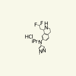 CC(C)N(c1ccc2c(c1)C(CC(F)F)NCC2)c1cnn(C)c1.Cl